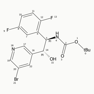 CC(C)(C)OC(=O)N[C@H](c1cc(F)ccc1F)[C@H](O)c1cncc(Br)c1